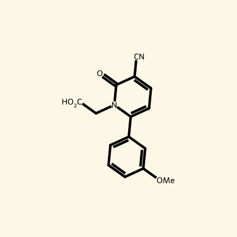 COc1cccc(-c2ccc(C#N)c(=O)n2CC(=O)O)c1